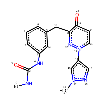 CCNC(=O)Nc1cccc(Cc2nn(-c3cnn(C)c3)ccc2=O)c1